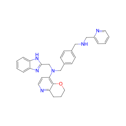 c1ccc(CNCc2ccc(CN(Cc3nc4ccccc4[nH]3)c3ccnc4c3OCCC4)cc2)nc1